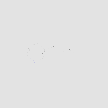 CCCCC1=CNC=CC1